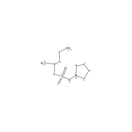 CCCC(C)CS(=O)(=O)ON1CCCC1